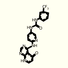 O=C(Nc1ccc(Nc2ncnc3[nH]ccc(=O)c23)nc1)Nc1cccc(C(F)(F)F)c1